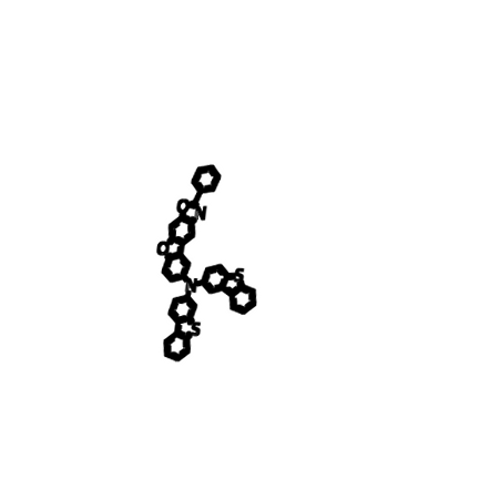 c1ccc(-c2nc3cc4c(cc3o2)oc2ccc(N(c3ccc5c(c3)sc3ccccc35)c3ccc5sc6ccccc6c5c3)cc24)cc1